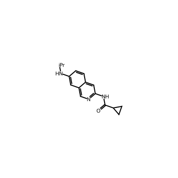 CC(C)Nc1ccc2cc(NC(=O)C3CC3)ncc2c1